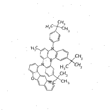 Cc1cc2c3c(c1)N(c1cccc4oc5cc6ccccc6cc5c14)c1ccc(C(C)(C)C)cc1B3c1cc(C(C)(C)C)ccc1N2c1ccc(C(C)(C)C)cc1